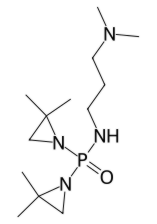 CN(C)CCCNP(=O)(N1CC1(C)C)N1CC1(C)C